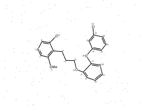 COc1cncc(Cl)c1CCCOc1cccnc1Oc1cccc(Cl)c1